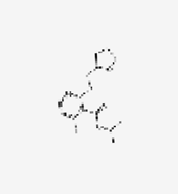 CC(C)OC(=O)c1c(I)ccnc1OCC1CCCO1